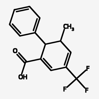 CC1C=C(C(F)(F)F)C=C(C(=O)O)C1c1ccccc1